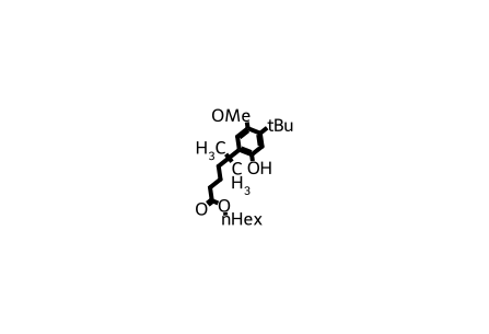 CCCCCCOC(=O)CCCC(C)(C)c1cc(OC)c(C(C)(C)C)cc1O